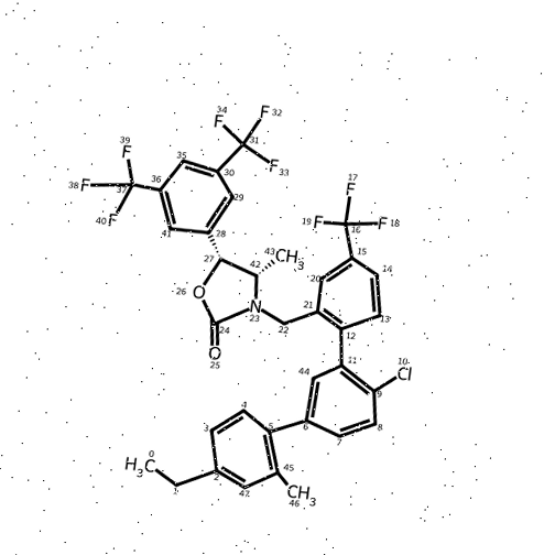 CCc1ccc(-c2ccc(Cl)c(-c3ccc(C(F)(F)F)cc3CN3C(=O)O[C@H](c4cc(C(F)(F)F)cc(C(F)(F)F)c4)[C@@H]3C)c2)c(C)c1